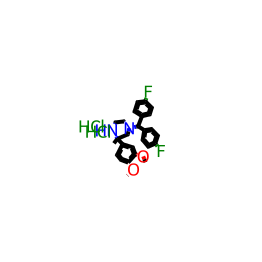 COc1ccc(C2(C)CN(C(c3ccc(F)cc3)c3ccc(F)cc3)CCN2)cc1OC.Cl.Cl